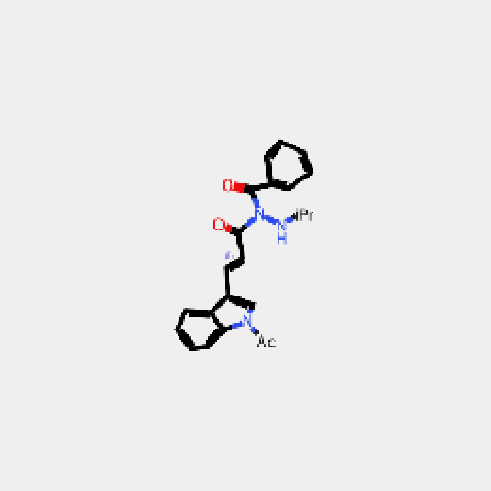 CC(=O)n1cc(/C=C/C(=O)N(NC(C)C)C(=O)c2ccccc2)c2ccccc21